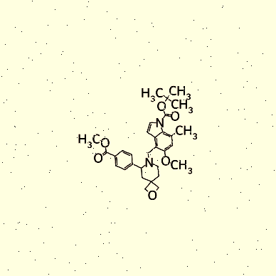 COC(=O)c1ccc(C2CC3(CCN2Cc2c(OC)cc(C)c4c2ccn4C(=O)OC(C)(C)C)COC3)cc1